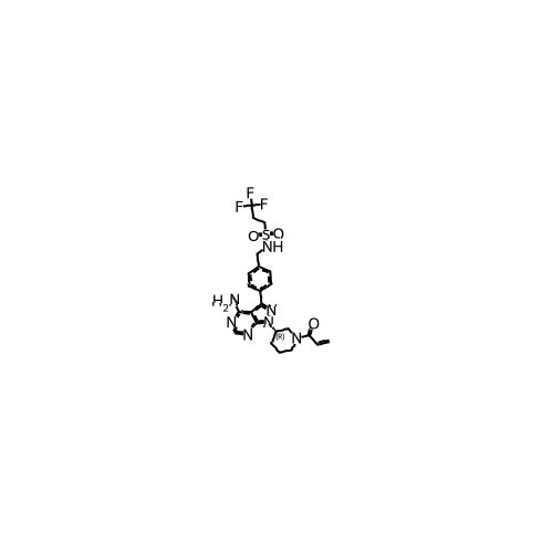 C=CC(=O)N1CCC[C@@H](n2nc(-c3ccc(CNS(=O)(=O)CCC(F)(F)F)cc3)c3c(N)ncnc32)C1